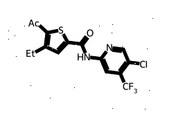 CCc1cc(C(=O)Nc2cc(C(F)(F)F)c(Cl)cn2)sc1C(C)=O